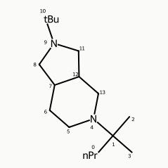 CCCC(C)(C)N1CCC2CN(C(C)(C)C)CC2C1